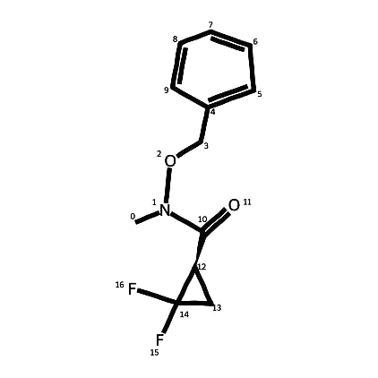 CN(OCc1ccccc1)C(=O)[C@H]1CC1(F)F